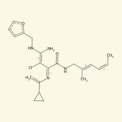 C=C(/N=C(C(=O)NC/C(C)=C/C=C\C)\C(Cl)=C(/N)NCc1ccco1)C1CC1